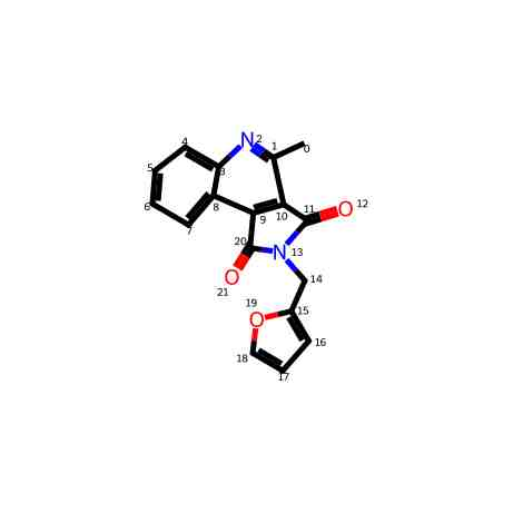 Cc1nc2ccccc2c2c1C(=O)N(Cc1ccco1)C2=O